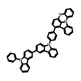 c1ccc(-n2c3ccccc3c3cc(-c4ccc5c(c4)c4ccccc4n5-c4ccc(-c5ccc6c7c5c5ccccc5n7-c5ccccc5S6)cc4)ccc32)cc1